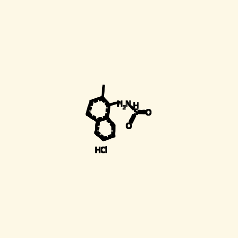 Cc1ccc2ccccc2c1C.Cl.N[SH](=O)=O